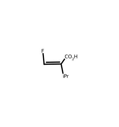 CC(C)/C(=C/F)C(=O)O